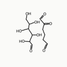 O=CC(O)C(O)C(O)C(O)CO.O=CCCCC(=O)C=O